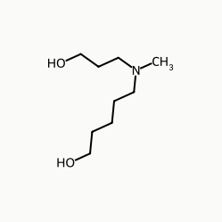 CN(CCCO)CCCCCO